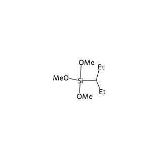 CCC(CC)[Si](OC)(OC)OC